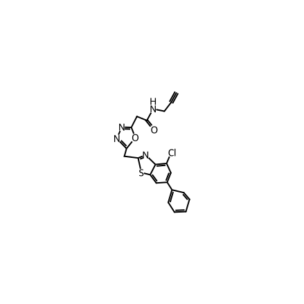 C#CCNC(=O)Cc1nnc(Cc2nc3c(Cl)cc(-c4ccccc4)cc3s2)o1